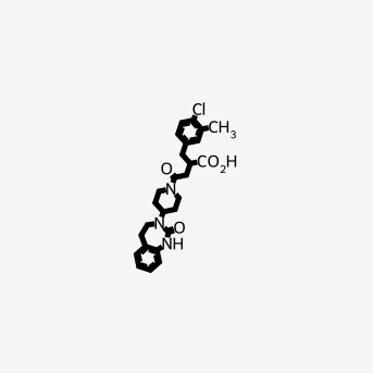 Cc1cc(CC(CC(=O)N2CCC(N3CCc4ccccc4NC3=O)CC2)C(=O)O)ccc1Cl